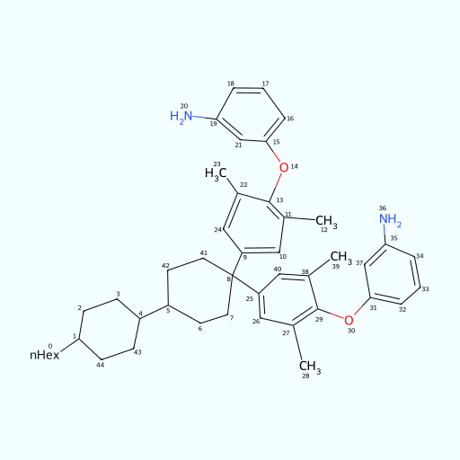 CCCCCCC1CCC(C2CCC(c3cc(C)c(Oc4cccc(N)c4)c(C)c3)(c3cc(C)c(Oc4cccc(N)c4)c(C)c3)CC2)CC1